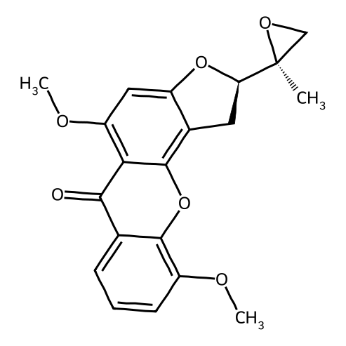 COc1cccc2c(=O)c3c(OC)cc4c(c3oc12)C[C@H]([C@]1(C)CO1)O4